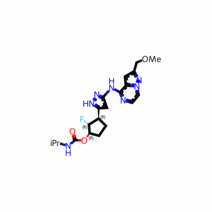 COCc1cc2c(Nc3cc([C@H]4CC[C@@H](OC(=O)NC(C)C)[C@@H]4F)[nH]n3)nccn2n1